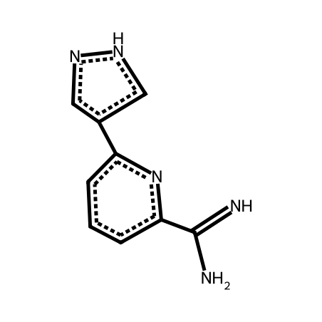 N=C(N)c1cccc(-c2cn[nH]c2)n1